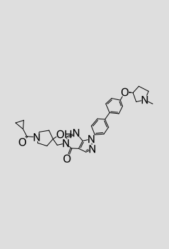 CN1CC[C@H](Oc2ccc(-c3ccc(-n4ncc5c(=O)n(CC6(O)CCN(C(=O)C7CC7)CC6)cnc54)cc3)cc2)C1